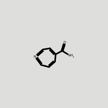 NC(=O)C1=CC=[N+]=CC=C1